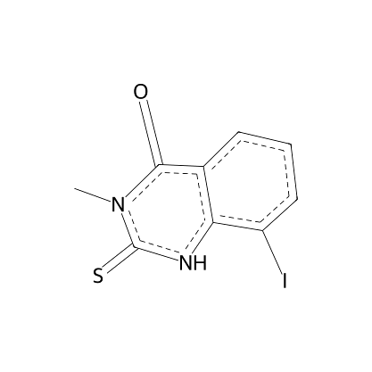 Cn1c(=S)[nH]c2c(I)cccc2c1=O